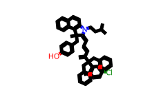 C=C(/C=C/C=C1/N(CCC(C)C)c2ccc3ccccc3c2C1(C)Cc1ccc(O)cc1)C(Cc1ccccc1)(Cc1ccccc1)c1cc(Cl)ccc1C